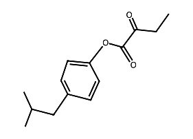 CCC(=O)C(=O)Oc1ccc(CC(C)C)cc1